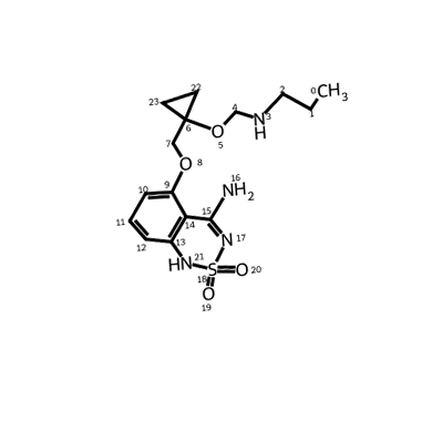 CCCNCOC1(COc2cccc3c2C(N)=NS(=O)(=O)N3)CC1